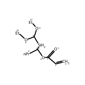 C=CC(=O)OC(CCC)[SiH2]C(OCC)OCC